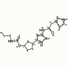 CCCNC(=O)OC1CCC(c2cc(NC(=O)Cc3cncs3)n[nH]2)C1